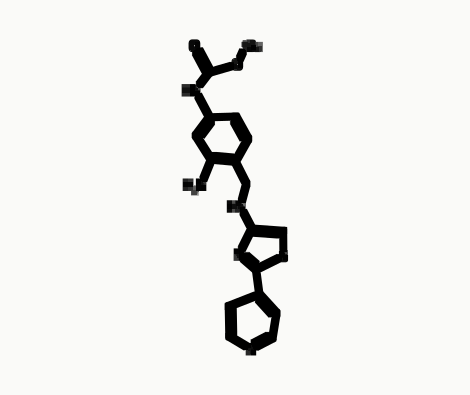 CC(C)(C)OC(=O)Nc1ccc(CNc2csc(-c3ccncc3)n2)c(N)c1